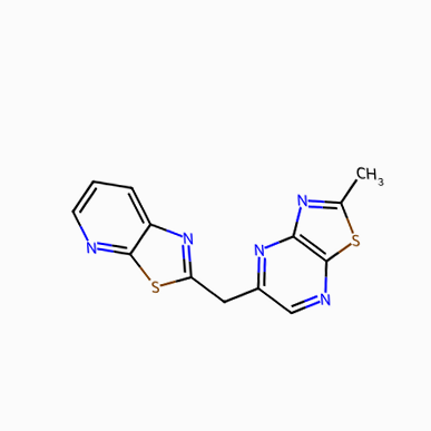 Cc1nc2nc(Cc3nc4cccnc4s3)cnc2s1